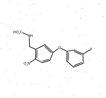 O=C(O)NCc1cc(Oc2cccc(F)c2)ccc1[N+](=O)[O-]